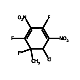 CC1(F)C(F)=C([N+](=O)[O-])C(F)=C([N+](=O)[O-])C1Cl